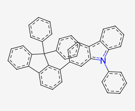 c1ccc(-n2c3ccccc3c3ccc(-c4cccc5c4C(c4ccccc4)(c4ccccc4)c4ccccc4-5)cc32)cc1